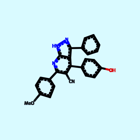 COc1ccc(-c2nc3[nH]nc(-c4ccccc4)c3c(-c3ccc(O)cc3)c2C#N)cc1